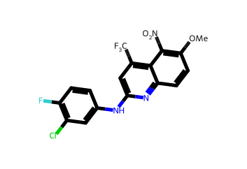 COc1ccc2nc(Nc3ccc(F)c(Cl)c3)cc(C(F)(F)F)c2c1[N+](=O)[O-]